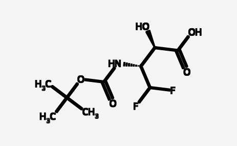 CC(C)(C)OC(=O)N[C@@H](C(F)F)[C@@H](O)C(=O)O